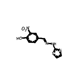 O=[N+]([O-])c1cc(/C=N/Nc2nccs2)ccc1O